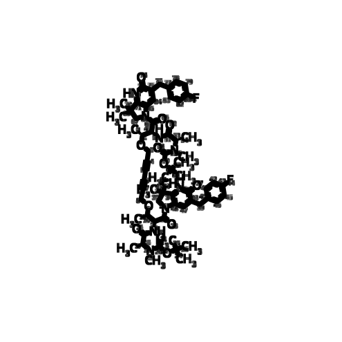 C[C@@H](OCC#CC#CCO[C@H](C)[C@H](NC(=O)[C@H](C)N(C)C(=O)OC(C)(C)C)C(=O)N1CC(C)(C)c2[nH]c(=O)c(Cc3ccc(F)cc3)cc21)[C@H](NC(=O)[C@H](C)N(C)C(=O)OC(C)(C)C)C(=O)N1CC(C)(C)c2[nH]c(=O)c(Cc3ccc(F)cc3)cc21